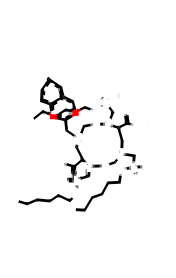 CCCCCCOP(=O)(O)CN1CCN(CP(=O)(O)OCCCCCC)C(C(=O)O)CN(Cc2ccc3cc(F)ccc3n2)CCN(CP(=O)(O)OCCCCCC)C(C(=O)O)C1